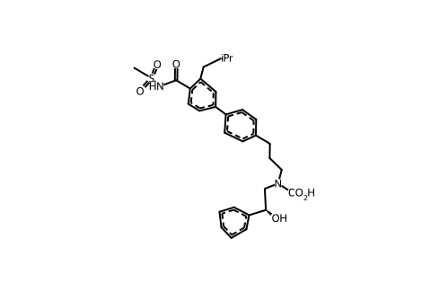 CC(C)Cc1cc(-c2ccc(CCCN(C[C@@H](O)c3ccccc3)C(=O)O)cc2)ccc1C(=O)NS(C)(=O)=O